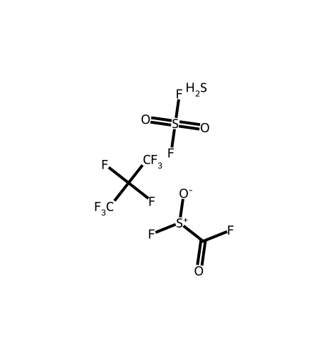 FC(F)(F)C(F)(F)C(F)(F)F.O=C(F)[S+]([O-])F.O=S(=O)(F)F.S